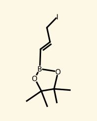 CC1(C)OB(/C=C/CI)OC1(C)C